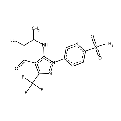 CCC(C)Nc1c(C=O)c(C(F)(F)F)nn1-c1ccc(S(C)(=O)=O)nc1